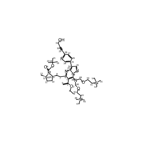 C=C(OCC)c1c(CC[C@H]2CC[C@@H](C)N2C(=O)OC(C)(C)C)nc2c(-c3ccc(C#CCO)nc3)cnn2c1N(COCC[Si](C)(C)C)COCC[Si](C)(C)C